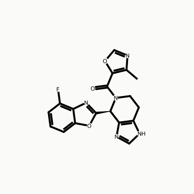 Cc1ncoc1C(=O)N1CCc2[nH]cnc2[C@H]1c1nc2c(F)cccc2o1